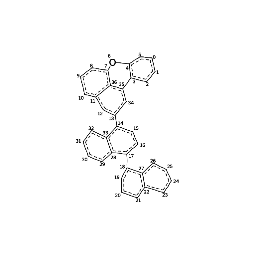 c1ccc2c(c1)Oc1cccc3cc(-c4ccc(-c5cccc6ccccc56)c5ccccc45)cc-2c13